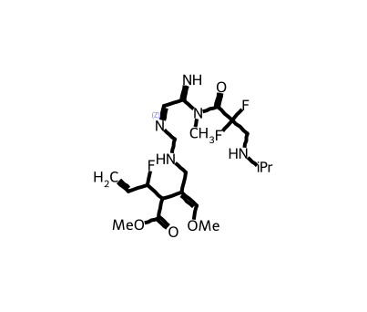 C=CC(F)C(C(=O)OC)C(=COC)CNC/N=C\C(=N)N(C)C(=O)C(F)(F)CNC(C)C